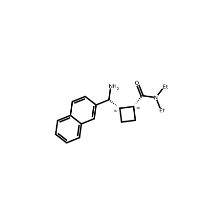 CCN(CC)C(=O)[C@@H]1CC[C@@H]1C(N)c1ccc2ccccc2c1